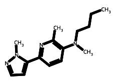 CCCCN(C)c1ccc(-c2ccnn2C)nc1C